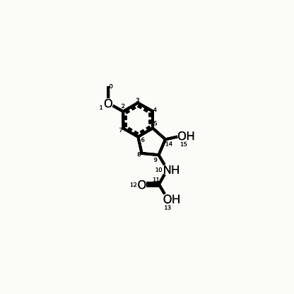 COc1ccc2c(c1)CC(NC(=O)O)C2O